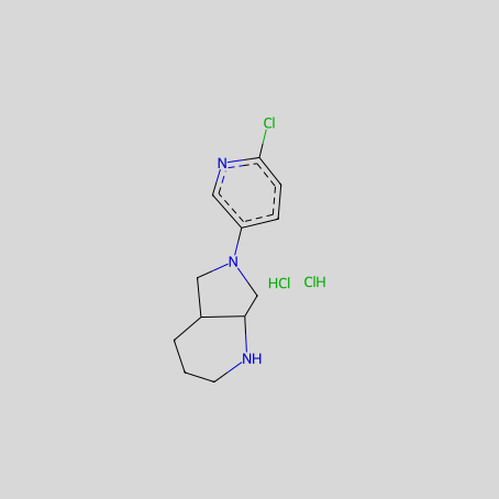 Cl.Cl.Clc1ccc(N2CC3CCCNC3C2)cn1